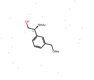 COCc1cccc([C@@H](CO)NC(C)=O)c1